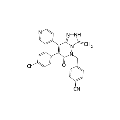 C=C1NN=C2C(c3ccncc3)=C(c3ccc(Cl)cc3)C(=O)N(Cc3ccc(C#N)cc3)N12